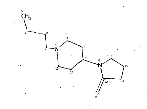 CCCCN1CCC(N2CCCC2=O)CC1